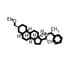 CCOC[C@H]1CC[C@H]2[C@H](CC[C@@H]3[C@@H]2CC[C@]2(C)C([C@@H](C)N[C@H](C)c4ccccc4)CC[C@@H]32)C1